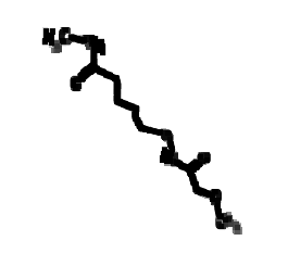 CNC(=O)CCCCONC(=O)COC